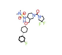 CN(C)S(=O)(=O)NC1CCN(C(=O)N2CCC(F)(F)C2)CC1CO[C@H]1CC[C@@H](c2cccc(F)c2)CC1